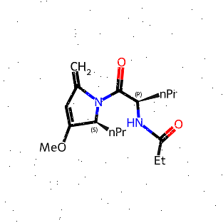 C=C1C=C(OC)[C@H](CCC)N1C(=O)[C@@H](CCC)NC(=O)CC